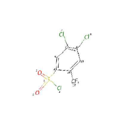 O=S(=O)(Cl)c1cc(Cl)c(Cl)cc1C(F)(F)F